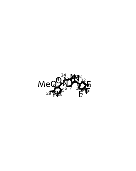 COc1c(C(=O)N2CCc3c(nn(C)c3-c3cc(F)c(F)c(F)c3)[C@@H]2C)ccnc1C